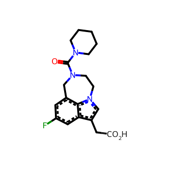 O=C(O)Cc1cn2c3c(cc(F)cc13)CN(C(=O)N1CCCCC1)CC2